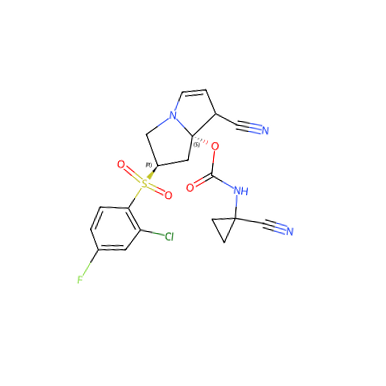 N#CC1C=CN2C[C@H](S(=O)(=O)c3ccc(F)cc3Cl)C[C@]12OC(=O)NC1(C#N)CC1